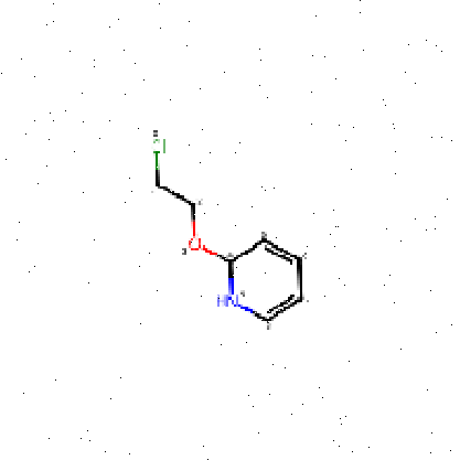 ClCCOC1C=CC=CN1